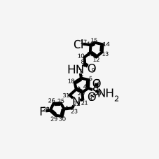 NS(=O)(=O)c1cc(NC(=O)Cc2ccccc2Cl)cc2c1CN(Cc1ccc(F)cc1)C2